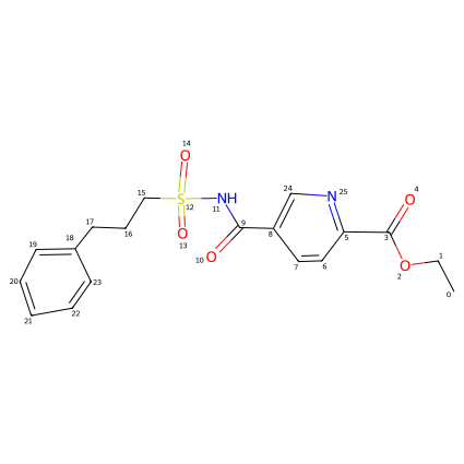 CCOC(=O)c1ccc(C(=O)NS(=O)(=O)CCCc2ccccc2)cn1